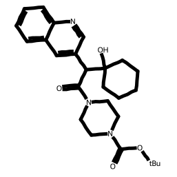 CC(C)(C)OC(=O)N1CCN(C(=O)C(c2cnc3ccccc3c2)C2(O)CCCCC2)CC1